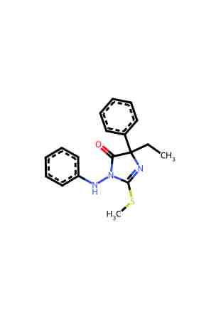 CCC1(c2ccccc2)N=C(SC)N(Nc2ccccc2)C1=O